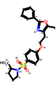 Cc1oc(-c2ccccc2)nc1CCOc1ccc(S(=O)(=O)N2CCCC2C(=O)O)cc1